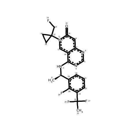 C[C@@H](Nc1ncnc2cc(=O)n(C3(CF)CC3)cc12)c1cccc(C(C)(F)F)c1F